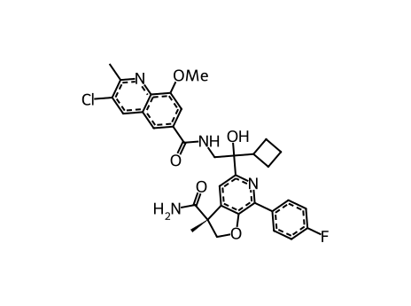 COc1cc(C(=O)NCC(O)(c2cc3c(c(-c4ccc(F)cc4)n2)OC[C@]3(C)C(N)=O)C2CCC2)cc2cc(Cl)c(C)nc12